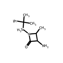 CC1C(N)C(=O)N1[SiH2]C(C)(C)C(C)C